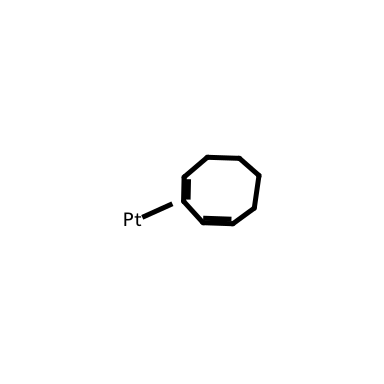 C1=CCCCCC=C1.[CH3][Pt]